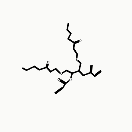 C=CC(=C)CC(CSCCC(=O)CCCC)C(CSCCC(=O)CCCC)OC(=O)C=C